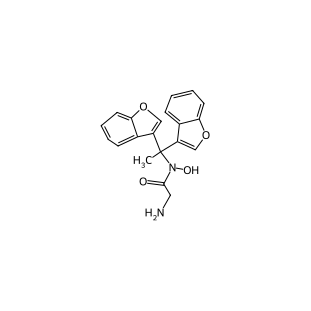 CC(c1coc2ccccc12)(c1coc2ccccc12)N(O)C(=O)CN